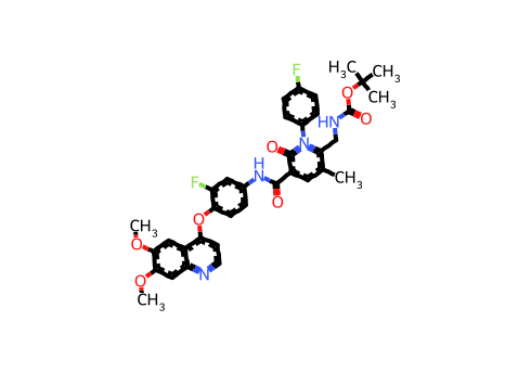 COc1cc2nccc(Oc3ccc(NC(=O)c4cc(C)c(CNC(=O)OC(C)(C)C)n(-c5ccc(F)cc5)c4=O)cc3F)c2cc1OC